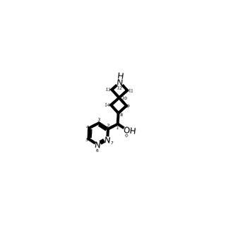 OC(c1cccnn1)C1CC2(CNC2)C1